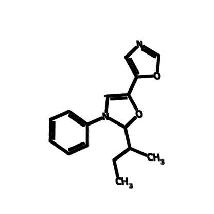 CCC(C)C1OC(c2cnco2)=[C]N1c1ccccc1